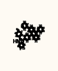 CC1CC=C(C2Nc3ccccc3N2C2=CC=C(c3c4ccccc4c(C4=CC=CCC4)c4ccc(C5=CCCCC5)cc34)CC2)CC1